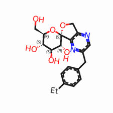 CCc1ccc(Cc2cnc3c(n2)[C@]2(OC3)O[C@H](CO)[C@@H](O)[C@H](O)[C@H]2O)cc1